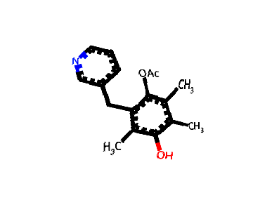 CC(=O)Oc1c(C)c(C)c(O)c(C)c1Cc1cccnc1